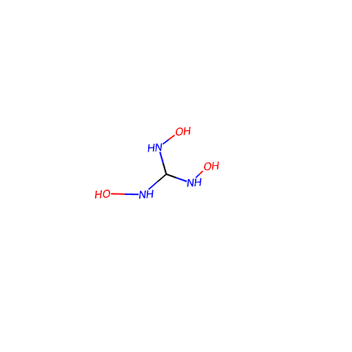 ONC(NO)NO